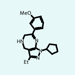 CCc1nn(C2CCCC2)c2c1CNCC(c1cccc(OC)c1)=N2